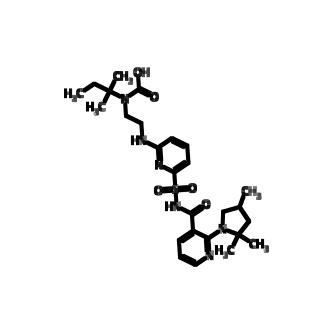 CCC(C)(C)N(CCNc1cccc(S(=O)(=O)NC(=O)c2cccnc2N2CC(C)CC2(C)C)n1)C(=O)O